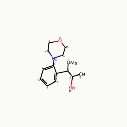 COC(c1ccccc1N1CCOCC1)C(O)C#N